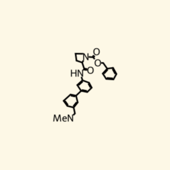 CNCc1cccc(-c2cccc(NC(=O)C3CCCN3C(=O)OCc3ccccc3)c2)c1